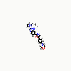 CN1CCC[C@H]1c1nc2ccc(-c3ncc(-c4ccc(N5CCOCC5)cc4)o3)cc2[nH]1